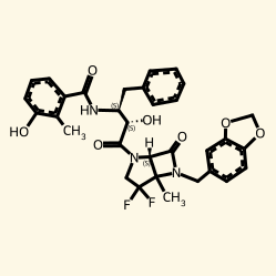 Cc1c(O)cccc1C(=O)N[C@@H](Cc1ccccc1)[C@H](O)C(=O)N1CC(F)(F)C2(C)[C@H]1C(=O)N2Cc1ccc2c(c1)OCO2